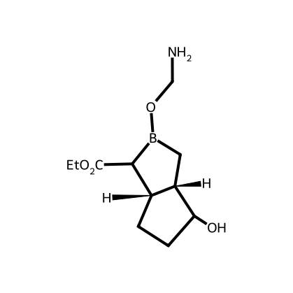 CCOC(=O)C1B(OCN)C[C@@H]2C(O)CC[C@H]12